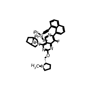 CC(C)[Si](C#Cc1cccc2cccc(-c3ncc4c(N5CC6CCC(C5)N6)nc(OC[C@@H]5CCCN5C)nc4c3F)c12)(C(C)C)C(C)C